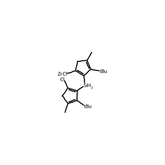 CC1=C(C(C)(C)C)C([SiH2]C2=C(Cl)CC(C)=C2C(C)(C)C)=C(Cl)C1.[Zr]